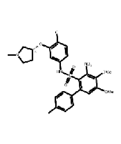 COc1cc(-c2ccc(C)cc2)c(S(=O)(=O)Nc2ccc(Cl)c(O[C@@H]3CCN(C)C3)c2)c([N+](=O)[O-])c1OC